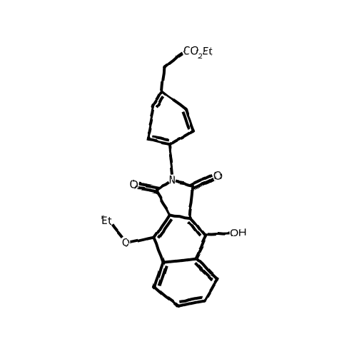 CCOC(=O)Cc1ccc(N2C(=O)c3c(c(OCC)c4ccccc4c3O)C2=O)cc1